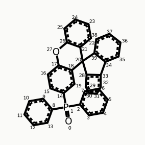 O=P(c1ccccc1)(c1ccccc1)c1ccc2c(c1)C1(c3ccccc3O2)c2ccccc2-c2ccccc21